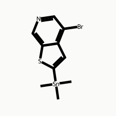 [CH3][Sn]([CH3])([CH3])[c]1cc2c(Br)cncc2s1